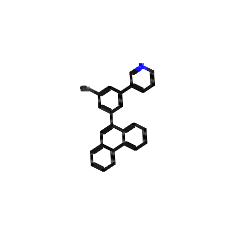 CC(C)(C)c1cc(-c2cccnc2)cc(-c2cc3ccccc3c3ccccc23)c1